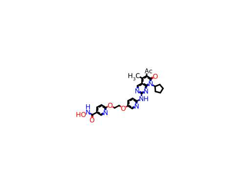 CC(=O)c1c(C)c2cnc(Nc3ccc(OCCOc4ccc(C(=O)NO)cn4)cn3)nc2n(C2CCCC2)c1=O